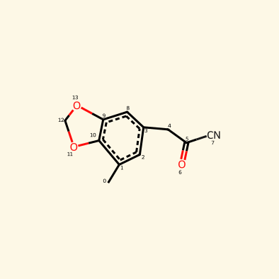 Cc1cc(CC(=O)C#N)cc2c1OCO2